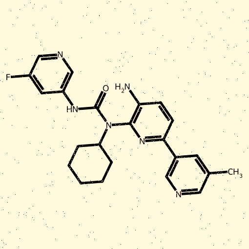 Cc1cncc(-c2ccc(N)c(N(C(=O)Nc3cncc(F)c3)C3CCCCC3)n2)c1